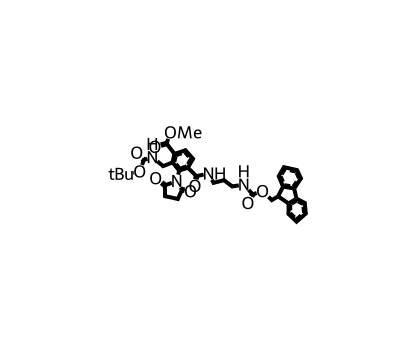 COC(=O)c1ccc(C(=O)NCCCNC(=O)OCC2c3ccccc3-c3ccccc32)c(N2C(=O)CCC2=O)c1CNC(=O)OC(C)(C)C